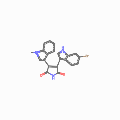 Cn1cc(C2=C(c3c[nH]c4cc(Br)ccc34)C(=O)NC2=O)c2ccccc21